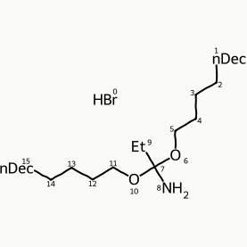 Br.CCCCCCCCCCCCCCOC(N)(CC)OCCCCCCCCCCCCCC